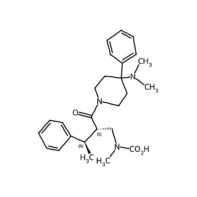 C[C@@H](c1ccccc1)[C@@H](CN(C)C(=O)O)C(=O)N1CCC(c2ccccc2)(N(C)C)CC1